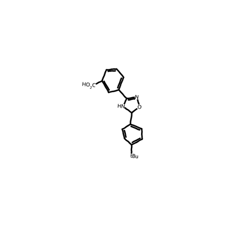 CC(C)(C)c1ccc(C2NC(c3cccc(C(=O)O)c3)=NO2)cc1